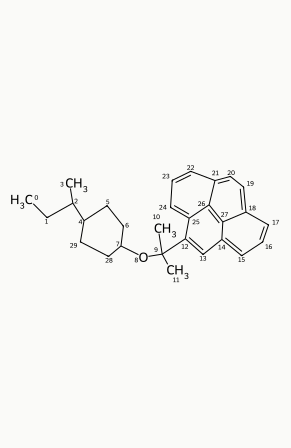 CCC(C)C1CCC(OC(C)(C)c2cc3cccc4ccc5cccc2c5c43)CC1